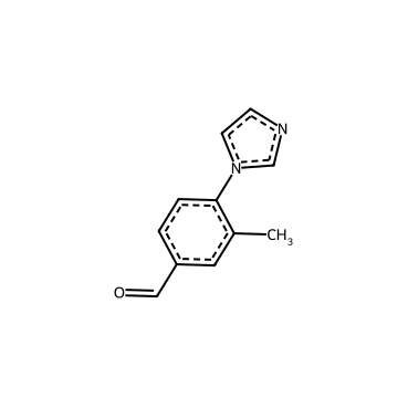 Cc1cc(C=O)ccc1-n1ccnc1